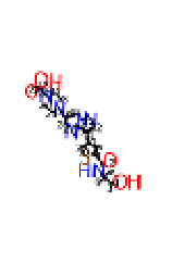 CC(C)(CO)NC(=O)c1cc(-c2cnn3cc(N4CCN(C(=O)O)CC4)cnc23)cs1